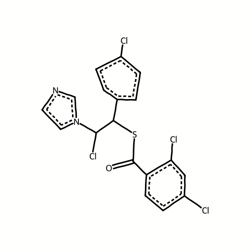 O=C(SC(c1ccc(Cl)cc1)C(Cl)n1ccnc1)c1ccc(Cl)cc1Cl